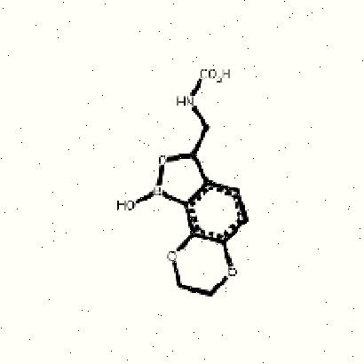 O=C(O)NCC1OB(O)c2c1ccc1c2OCCO1